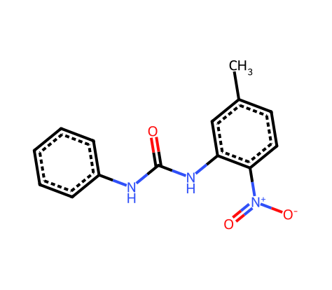 Cc1ccc([N+](=O)[O-])c(NC(=O)Nc2ccccc2)c1